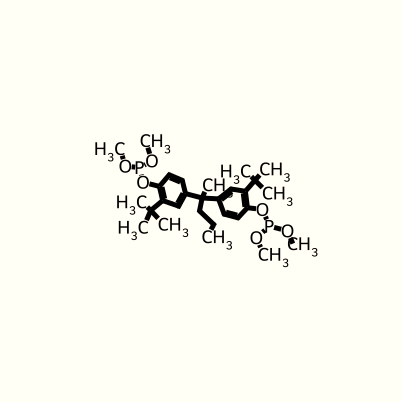 CCCC(C)(c1ccc(OP(OC)OC)c(C(C)(C)C)c1)c1ccc(OP(OC)OC)c(C(C)(C)C)c1